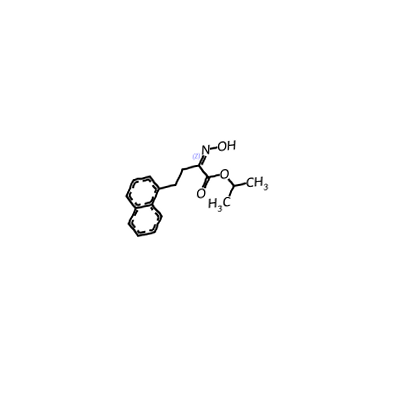 CC(C)OC(=O)/C(CCc1cccc2ccccc12)=N\O